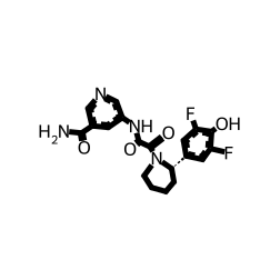 NC(=O)c1cncc(NC(=O)C(=O)N2CCCC[C@H]2c2cc(F)c(O)c(F)c2)c1